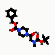 CN(CC(=O)N1CCN(C(=O)OCc2ccccc2)CC1)C(=O)OC(C)(C)C